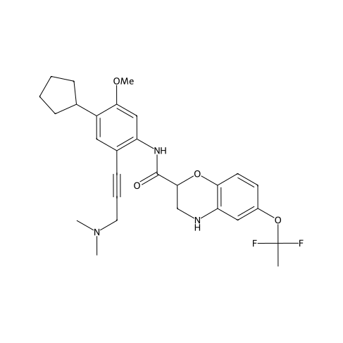 COc1cc(NC(=O)C2CNc3cc(OC(C)(F)F)ccc3O2)c(C#CCN(C)C)cc1C1CCCC1